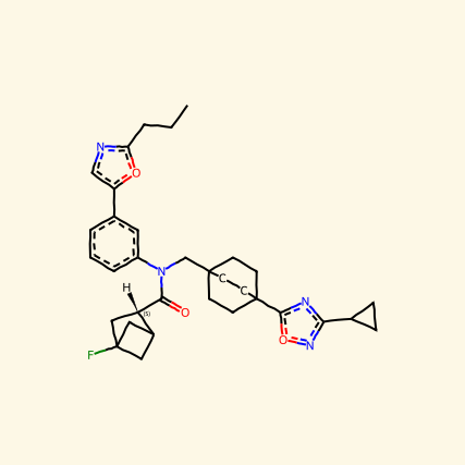 CCCc1ncc(-c2cccc(N(CC34CCC(c5nc(C6CC6)no5)(CC3)CC4)C(=O)[C@H]3CC4(F)CC3C4)c2)o1